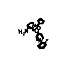 N[C@H]1CCCN(C(=O)C2CCCC2)[C@H]1COC1CCN(c2ccccc2F)CC1